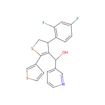 OC(C1=C(c2ccsc2)SCC1c1ccc(F)cc1F)c1cccnc1